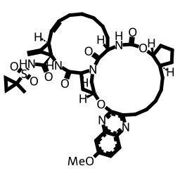 C=C1[C@H]2/C=C\CCCCC[C@@H]3NC(=O)O[C@@H]4CCC[C@H]4CCCCCc4nc5ccc(OC)cc5nc4O[C@@H]4C[C@@H](C(=O)N[C@]12C(=O)NS(=O)(=O)C1(C)CC1)N(C4)C3=O